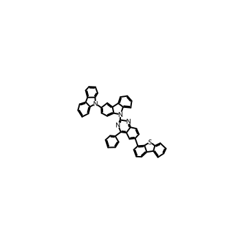 c1ccc(-c2nc(-n3c4ccccc4c4cc(-n5c6ccccc6c6ccccc65)ccc43)nc3ccc(-c4cccc5c4sc4ccccc45)cc23)cc1